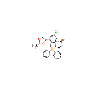 CC1OCC(c2cc(Cl)ccc2C[P+](c2ccccc2)(c2ccccc2)c2ccccc2)O1.[Br-]